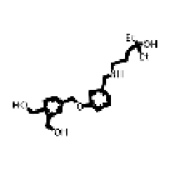 CCC(O)(CC)CCCNCc1cccc(OCc2ccc(CO)c(CO)c2)c1